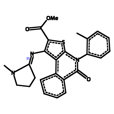 COC(=O)c1sc2c(c1/N=C1\CCCN1C)c1ccccc1c(=O)n2-c1ccccc1C